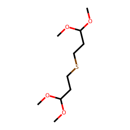 COC(CCSCCC(OC)OC)OC